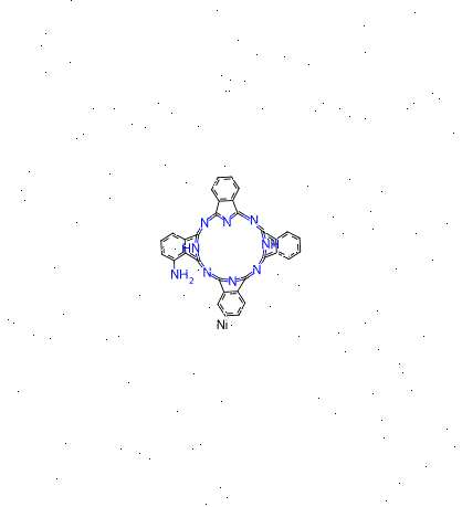 Nc1cccc2c3nc4nc(nc5[nH]c(nc6nc(nc([nH]3)c12)-c1ccccc1-6)c1ccccc51)-c1ccccc1-4.[Ni]